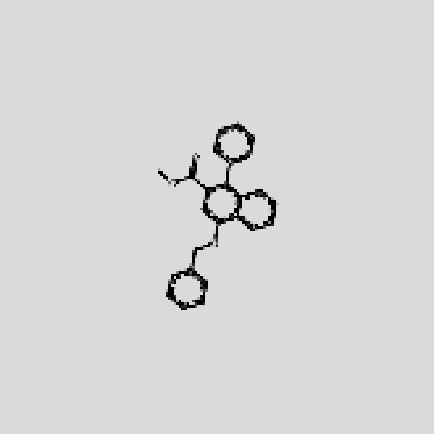 COC(=O)c1cc(OCc2ccccc2)c2ccccc2c1-c1ccccc1